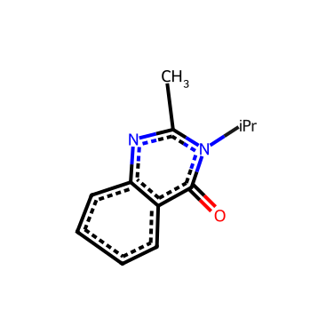 Cc1nc2ccccc2c(=O)n1C(C)C